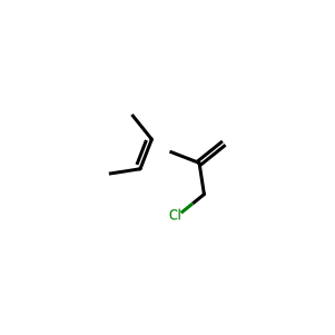 C/C=C\C.C=C(C)CCl